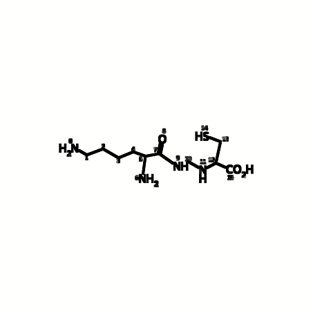 NCCCCC(N)C(=O)NCNC(CS)C(=O)O